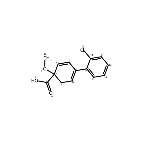 COC1(C(=O)O)C=CC(c2ccccc2Cl)=CC1